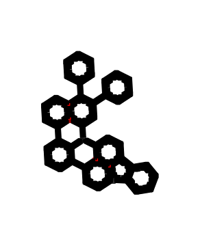 c1ccc(-c2ccc(N(c3ccc4c(c3)sc3ccccc34)c3c(-c4ccccc4)cccc3-c3ccccc3)cc2-c2ccccc2)cc1